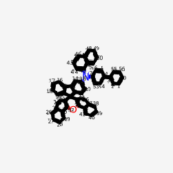 c1ccc(-c2ccc(N(c3ccc4c(c3)-c3ccccc3C43c4ccc5ccccc5c4Oc4c3ccc3ccccc43)c3cccc4ccccc34)cc2)cc1